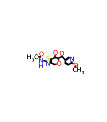 COc1ccc(C(=O)C2OCc3nc(NC(C)=O)sc3C2=O)cn1